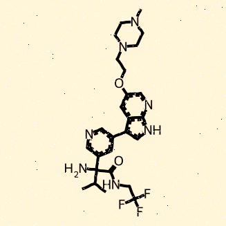 CC(C)C(N)(C(=O)NCC(F)(F)F)c1cncc(-c2c[nH]c3ncc(OCCN4CCN(C)CC4)cc23)c1